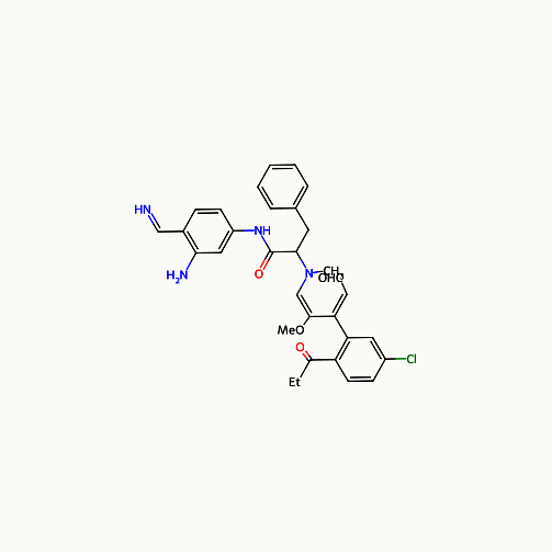 CCC(=O)c1ccc(Cl)cc1C(=C/C=O)/C(=C\N(C)C(Cc1ccccc1)C(=O)Nc1ccc(C=N)c(N)c1)OC